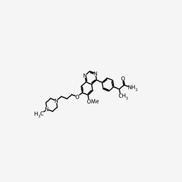 COc1cc2c(-c3ccc(C(C)C(N)=O)cc3)ncnc2cc1OCCCN1CCN(C)CC1